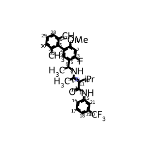 COc1cc(F)c(C(C)N/C(C)=C(/C(=O)Nc2cccc(C(F)(F)F)c2)C(C)C)cc1-c1c(C)cccc1C